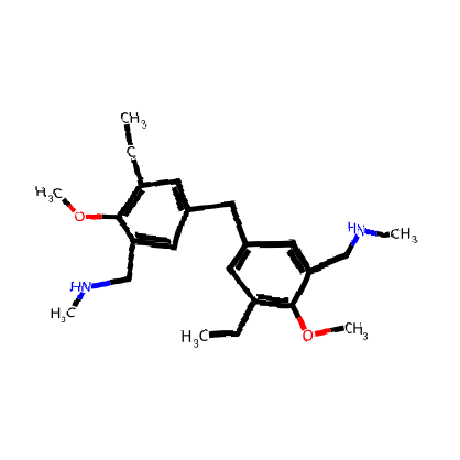 CCc1cc(Cc2cc(CC)c(OC)c(CNC)c2)cc(CNC)c1OC